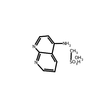 CS(=O)(=O)O.Nc1ccnc2ncccc12.O